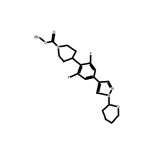 CC(C)(C)OC(=O)N1CCC(c2c(F)cc(-c3cnn(C4CCCCO4)c3)cc2F)CC1